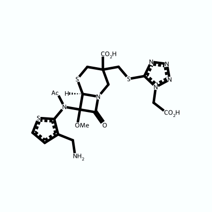 COC1(N(C(C)=O)c2sccc2CN)C(=O)N2CC(CSc3nnnn3CC(=O)O)(C(=O)O)CS[C@@H]21